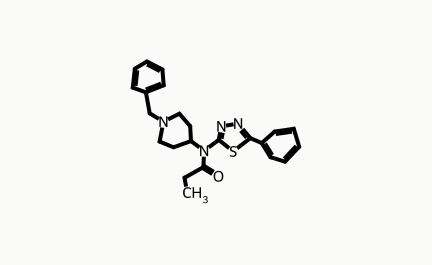 CCC(=O)N(c1nnc(-c2ccccc2)s1)C1CCN(Cc2ccccc2)CC1